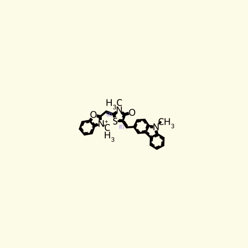 Cn1c(=O)/c(=C\c2ccc3c(c2)c2ccccc2n3C)s/c1=C\c1oc2ccccc2[n+]1C